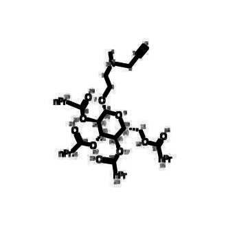 C#CCN(C)CCO[C@@H]1O[C@H](COC(=O)CCC)[C@@H](OC(=O)CCC)[C@H](OC(=O)CCC)[C@H]1OC(=O)CCC